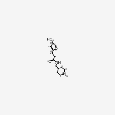 CN1CCC(CNC(=O)CCc2cc(O)no2)CC1